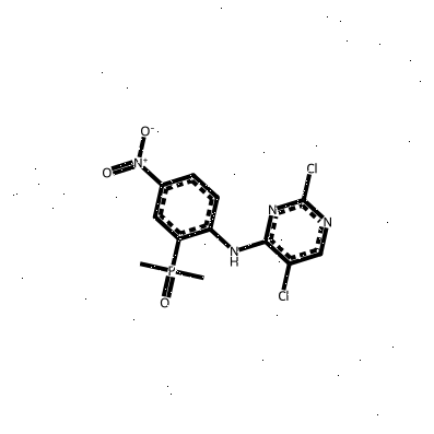 CP(C)(=O)c1cc([N+](=O)[O-])ccc1Nc1nc(Cl)ncc1Cl